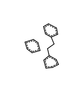 c1ccc(CCc2ccccc2)cc1.c1ccccc1